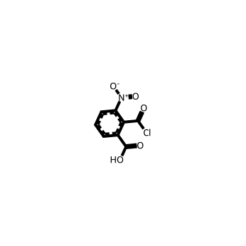 O=C(O)c1cccc([N+](=O)[O-])c1C(=O)Cl